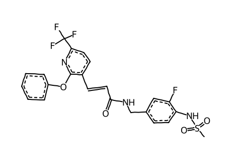 CS(=O)(=O)Nc1ccc(CNC(=O)/C=C/c2ccc(C(F)(F)F)nc2Oc2ccccc2)cc1F